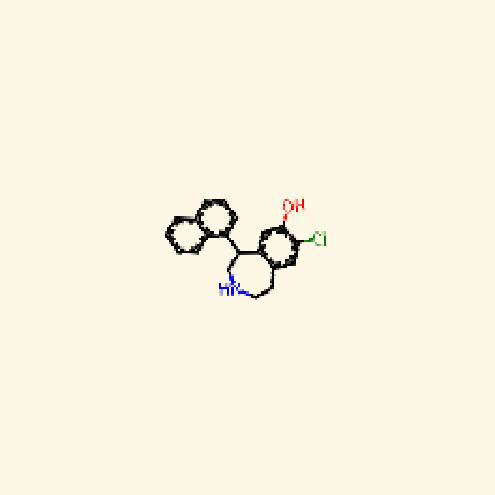 Oc1cc2c(cc1Cl)CCNCC2c1cccc2ccccc12